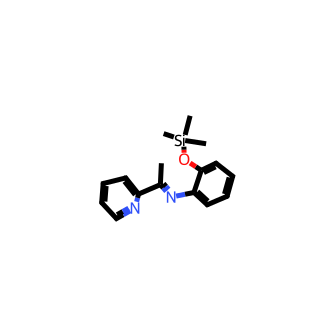 CC(=Nc1ccccc1O[Si](C)(C)C)c1ccccn1